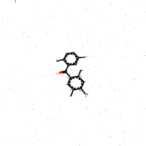 Cc1ccc(I)cc1C(=O)c1cc(C)c(C(C)C)cc1C